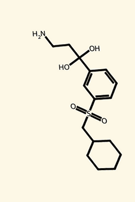 NCCC(O)(O)c1cccc(S(=O)(=O)CC2CCCCC2)c1